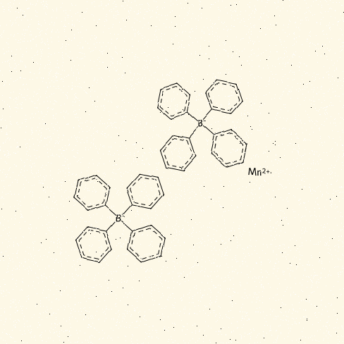 [Mn+2].c1ccc([B-](c2ccccc2)(c2ccccc2)c2ccccc2)cc1.c1ccc([B-](c2ccccc2)(c2ccccc2)c2ccccc2)cc1